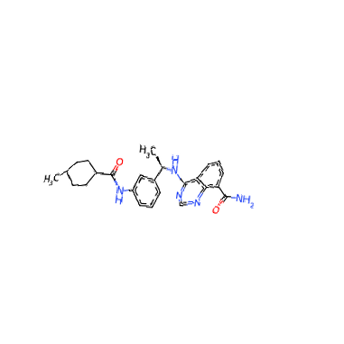 CC1CCC(C(=O)Nc2cccc([C@@H](C)Nc3ncnc4c(C(N)=O)cccc34)c2)CC1